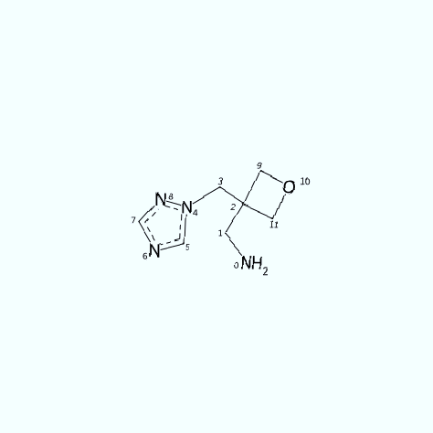 NCC1(Cn2cncn2)COC1